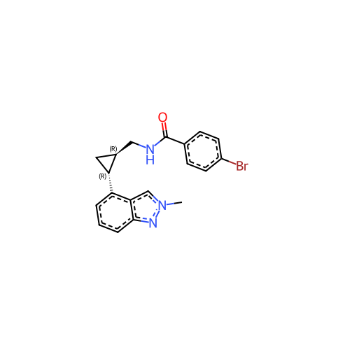 Cn1cc2c([C@@H]3C[C@H]3CNC(=O)c3ccc(Br)cc3)cccc2n1